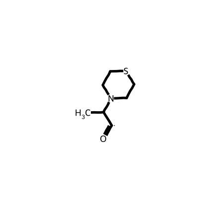 CC([C]=O)N1CCSCC1